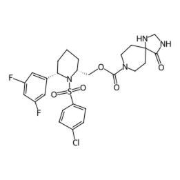 O=C(OC[C@H]1CCC[C@@H](c2cc(F)cc(F)c2)N1S(=O)(=O)c1ccc(Cl)cc1)N1CCC2(CC1)NCNC2=O